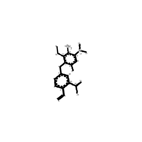 C=Cc1ccc(Cc2c(C)cc(N(C)C)c(P)c2CC)cc1C(C)C